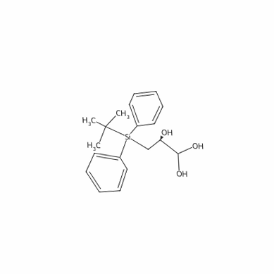 CC(C)(C)[Si](C[C@@H](O)C(O)O)(c1ccccc1)c1ccccc1